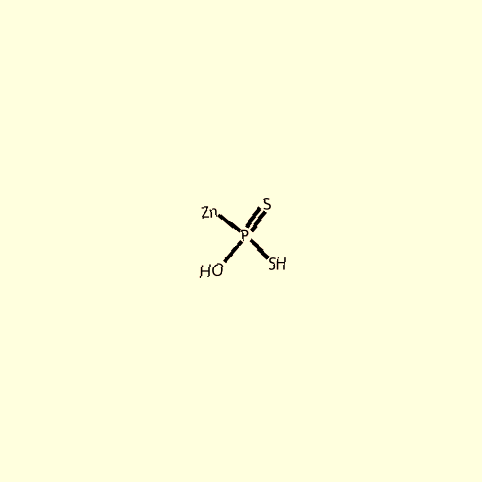 O[P](=S)(S)[Zn]